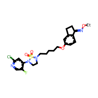 CCON=C1CCc2cc(OCCCCCN3CCN(c4cc(Cl)ncc4F)S3(=O)=O)ccc21